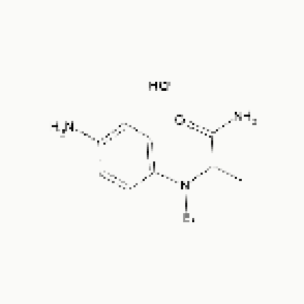 CCN(c1ccc(N)cc1)C(C)C(N)=O.Cl